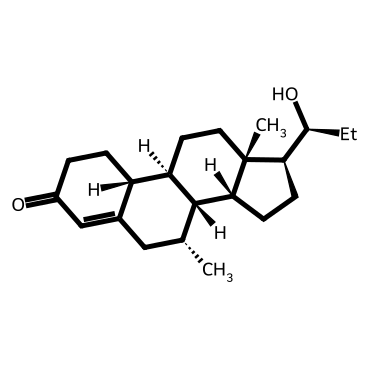 CC[C@H](O)[C@H]1CC[C@@H]2[C@H]3[C@H](CC[C@@]21C)[C@H]1CCC(=O)C=C1C[C@H]3C